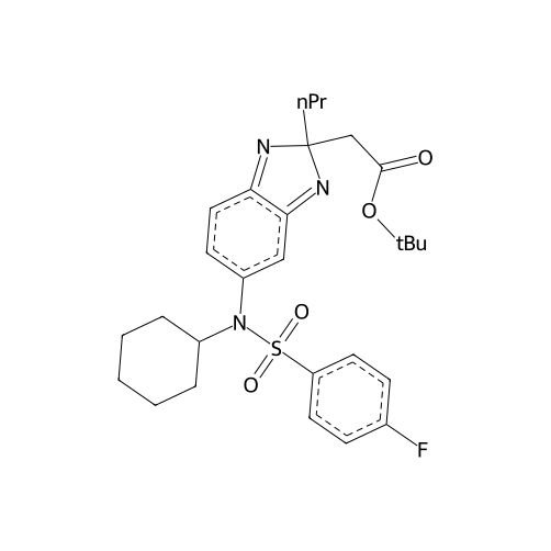 CCCC1(CC(=O)OC(C)(C)C)N=c2ccc(N(C3CCCCC3)S(=O)(=O)c3ccc(F)cc3)cc2=N1